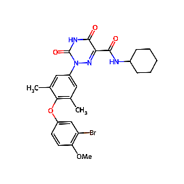 COc1ccc(Oc2c(C)cc(-n3nc(C(=O)NC4CCCCC4)c(=O)[nH]c3=O)cc2C)cc1Br